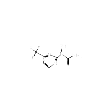 NC(=O)N(S)c1nccc(C(F)(F)F)n1